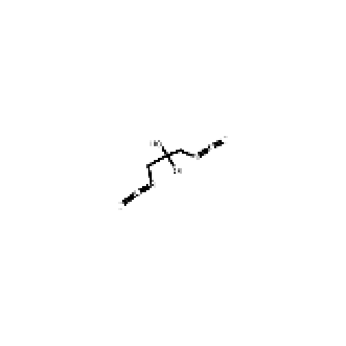 O=C=NCC(O)(O)CN=C=O